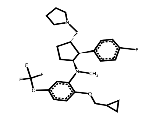 CN(c1cc(OC(F)(F)F)ccc1OCC1CC1)[C@H]1CC[C@H](CN2CCCC2)[C@H]1c1ccc(F)cc1